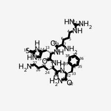 N=C(N)NCCCC(N)C(=O)N[C@@H](Cc1c[nH]c(=S)[nH]1)C(=O)N[C@@H](CCCCN)C(=O)N[C@@H](Cc1ccccc1)C(N)=O